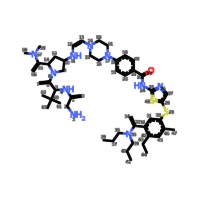 C=C(CN)NC(C(=C)N1CC(N/C=C\N2CCN(c3ccc(C(=O)Nc4ncc(Sc5cc(C(=C)N(CCC)CCC)c(CC)cc5C)s4)cc3)CC2)CC1C(=C)N(C)C)C(C)(C)C